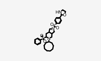 O=S(=O)(c1ccccc1)C1CC2CN(S(=O)(=O)c3ccc(C4NCCO4)cc3)CC2CN1C1CCCCCCCC1